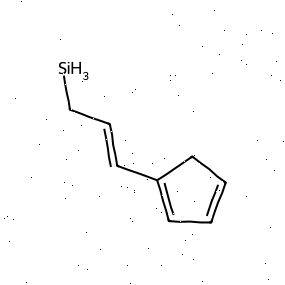 [SiH3]CC=CC1=CC=CC1